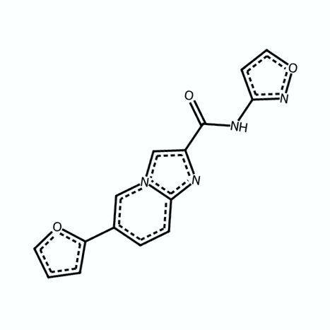 O=C(Nc1ccon1)c1cn2cc(-c3ccco3)ccc2n1